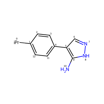 CC(C)c1ccc(-c2cn[nH]c2N)cc1